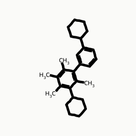 Cc1c(C)c(-c2cccc(C3CCCCC3)c2)c(C)c(C2CCCCC2)c1C